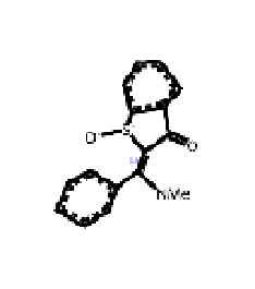 CN/C(=C1\C(=O)c2ccccc2[S+]1[O-])c1ccccc1